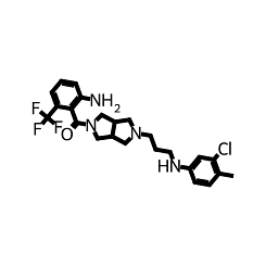 Cc1ccc(NCCCN2CC3CN(C(=O)c4c(N)cccc4C(F)(F)F)CC3C2)cc1Cl